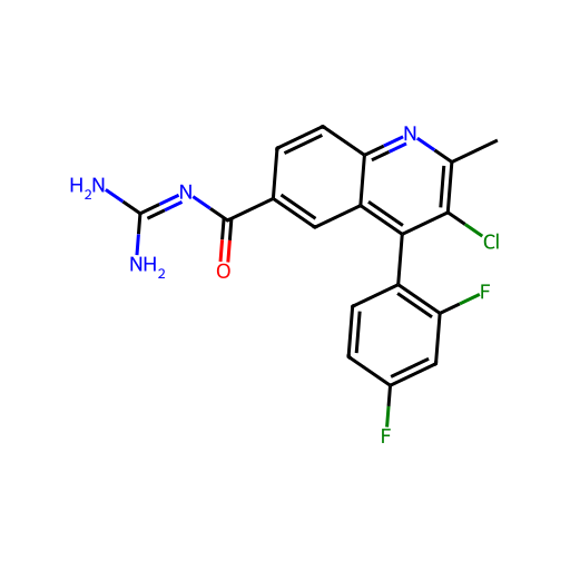 Cc1nc2ccc(C(=O)N=C(N)N)cc2c(-c2ccc(F)cc2F)c1Cl